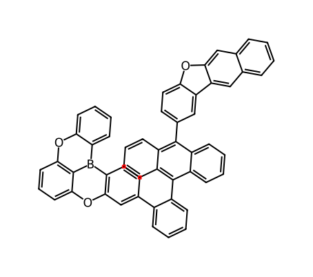 c1ccc2c(c1)Oc1cccc3c1B2c1ccc(-c2ccccc2-c2c4ccccc4c(-c4ccc5oc6cc7ccccc7cc6c5c4)c4ccccc24)cc1O3